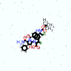 CC(C)(C)OC(=O)NC(CF)[C@H]1CC[C@H](C(=O)N2C(n3c(C(=O)O)c(F)c4ccccc43)C[C@@H](C3CCCCC3)[C@H]2C(N)=O)CC1